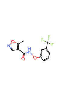 Cc1oncc1C(=O)NOc1cccc(C(F)(F)F)c1